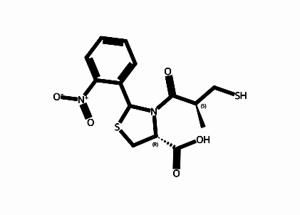 C[C@H](CS)C(=O)N1C(c2ccccc2[N+](=O)[O-])SC[C@H]1C(=O)O